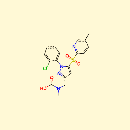 Cc1ccc(S(=O)(=O)c2cc(CN(C)C(=O)O)nn2-c2ccccc2Cl)nc1